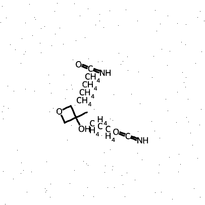 C.C.C.C.C.C.C.CC1(O)COC1.N=C=O.N=C=O